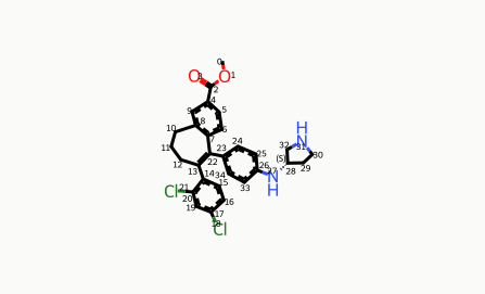 COC(=O)c1ccc2c(c1)CCCC(c1ccc(Cl)cc1Cl)=C2c1ccc(N[C@H]2CCNC2)cc1